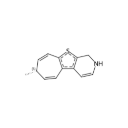 C[C@@H]1C=Cc2sc3c(c2C=C1)C=CNC3